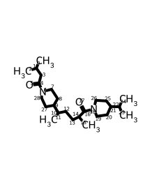 CC(C)CC(=O)N1CCC(C(C)CCC(C)C(=O)N2CCC(C(C)C)CC2)CC1